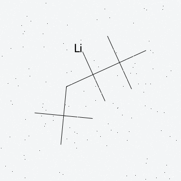 [Li][C](C)(CC(C)(C)C)C(C)(C)C